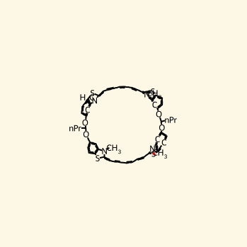 CCCC1Oc2ccc3c(c2)N(C)C(=CC=CC=CC=Cc2sc4ccc(cc4[n+]2C)OC(CCC)Oc2ccc4sc([n+](C)c4c2)C=CC=CC=CC=C2Sc4ccc(cc4N2C)O1)S3